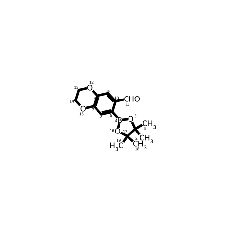 CC1(C)OB(c2cc3c(cc2C=O)OCCO3)OC1(C)C